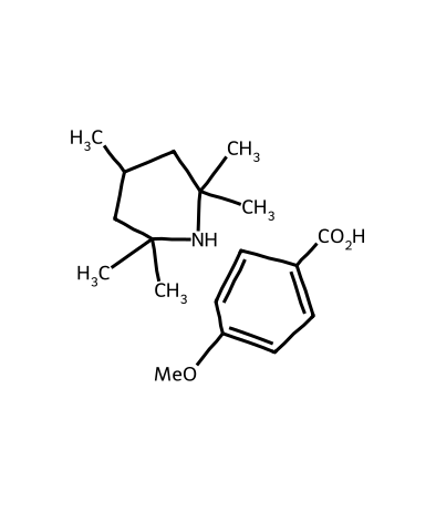 CC1CC(C)(C)NC(C)(C)C1.COc1ccc(C(=O)O)cc1